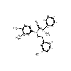 Cc1ccc(N(CCc2ccccn2)C(=O)[C@@H](N)c2ccccc2)cc1C.Cl